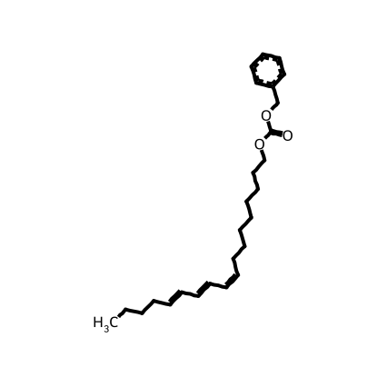 CCCC/C=C/C=C/C=C\CCCCCCCCOC(=O)OCc1ccccc1